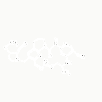 COCC(C)Nc1cc(NC(=O)N2CCCc3cc(CN4CC[C@H](OC)C4=C=O)c(C=O)nc32)ncc1C#N